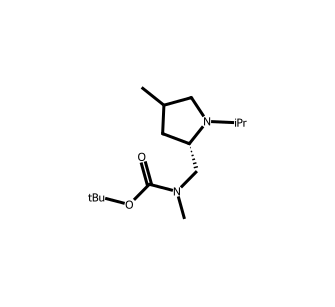 CC1C[C@@H](CN(C)C(=O)OC(C)(C)C)N(C(C)C)C1